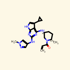 C=CC(=O)N1C[C@H](Nc2nc(Nc3cnn(C)c3)nc3[nH]cc(C4CC4)c23)CC[C@@H]1C